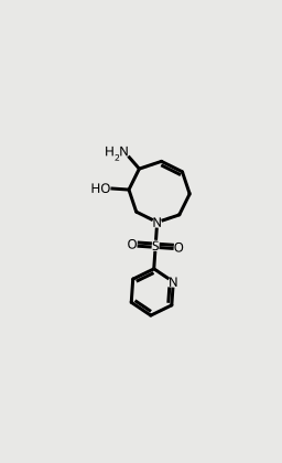 NC1/C=C\CCN(S(=O)(=O)c2ccccn2)CC1O